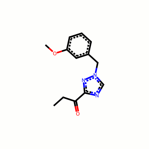 CCC(=O)c1ncn(Cc2cccc(OC)c2)n1